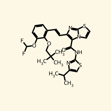 CC(C)c1csc(NC(=O)c2c(C=Cc3cccc(OC(F)F)c3OCC(C)(C)C)nc3sccn23)n1